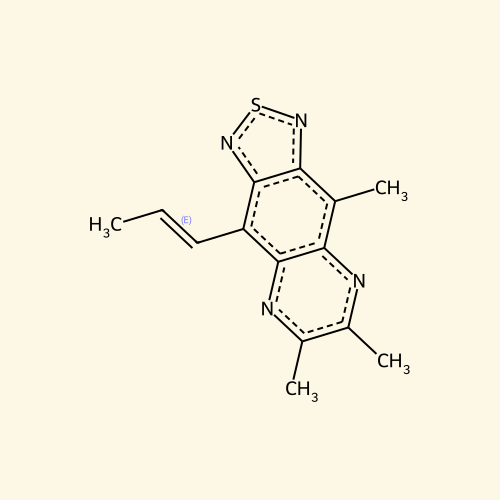 C/C=C/c1c2nsnc2c(C)c2nc(C)c(C)nc12